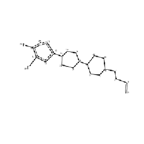 C=CCCC1CCC(C2CCC(c3ccc(F)c(F)c3)CC2)CC1